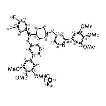 COc1cc(-c2cncc(CN(c3ccc(F)c(F)c3)C3CCN(Cc4ccnc(-c5cc(OC)c(OC)c(OC)c5)c4)CC3)c2)cc(OC)c1OC.Cl.Cl.Cl